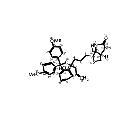 C=CCC(CCC[C@@H]1SC[C@@H]2NC(=O)N[C@@H]21)(OC(c1ccccc1)(c1ccc(OC)cc1)c1ccc(OC)cc1)C(=O)O